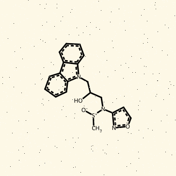 C[S+]([O-])N(CC(O)Cn1c2ccccc2c2ccccc21)c1ccon1